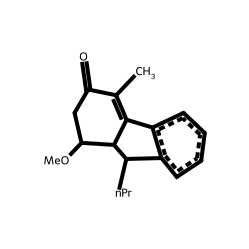 CCCC1c2ccccc2C2=C(C)C(=O)CC(OC)C21